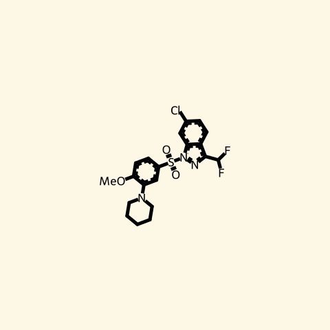 COc1ccc(S(=O)(=O)n2nc(C(F)F)c3ccc(Cl)cc32)cc1N1CCCCC1